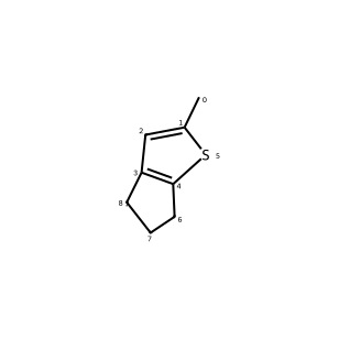 Cc1cc2c(s1)CC[CH]2